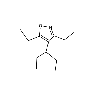 CCc1noc(CC)c1C(CC)CC